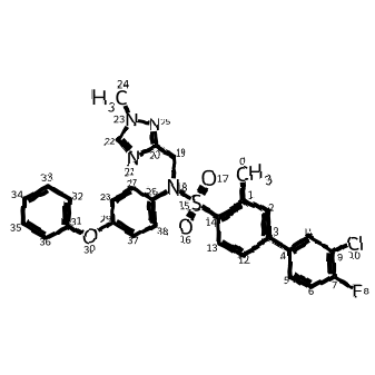 Cc1cc(-c2ccc(F)c(Cl)c2)ccc1S(=O)(=O)N(Cc1ncn(C)n1)c1ccc(Oc2ccccc2)cc1